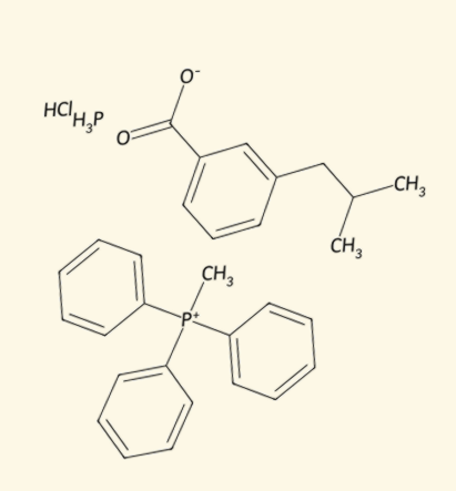 CC(C)Cc1cccc(C(=O)[O-])c1.C[P+](c1ccccc1)(c1ccccc1)c1ccccc1.Cl.P